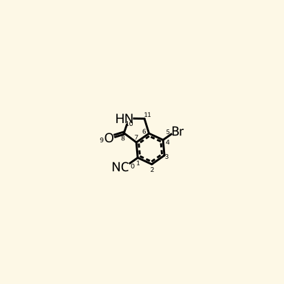 N#Cc1ccc(Br)c2c1C(=O)NC2